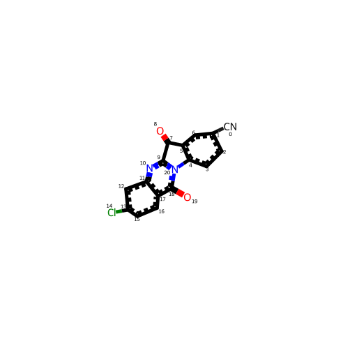 N#Cc1ccc2c(c1)C(=O)c1nc3cc(Cl)ccc3c(=O)n1-2